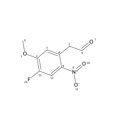 COc1cc(CC=O)c([N+](=O)[O-])cc1F